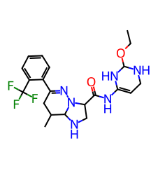 CCOC1NCC=C(NC(=O)C2CNC3C(C)CC(c4ccccc4C(F)(F)F)=NN23)N1